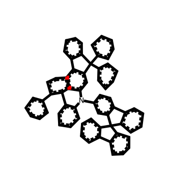 c1ccc(-c2ccccc2-c2ccccc2N(c2ccc3c(c2)C(c2ccccc2)(c2ccccc2)c2ccccc2-3)c2ccc3c(c2)C2(c4ccccc4-c4ccccc42)c2ccccc2-3)cc1